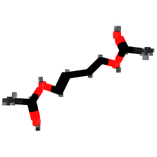 CCCC(=O)OC=CCCOC(=O)CCC